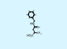 O=C(CC(C(=O)O)C(F)(F)F)NCc1ccccc1